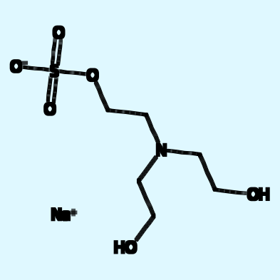 O=S(=O)([O-])OCCN(CCO)CCO.[Na+]